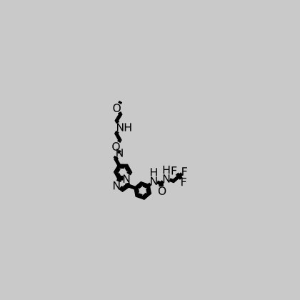 COCCNCCO/N=C/c1ccn2c(-c3cccc(NC(=O)NCC(F)(F)F)c3)cnc2c1